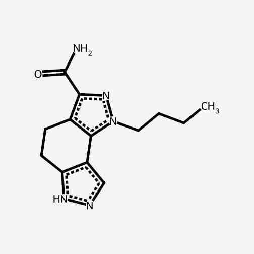 CCCCn1nc(C(N)=O)c2c1-c1cn[nH]c1CC2